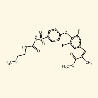 COCCNC(=O)NS(=O)(=O)c1ccc(Oc2c(F)cc(C=C(C)C(=O)OC)cc2F)cc1